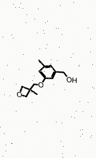 Cc1[c]c(CO)cc(OCC2(C)COC2)c1